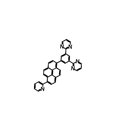 c1ccc(-c2ccc3ccc4c(-c5cc(-c6ncccn6)cc(-c6ncccn6)c5)ccc5ccc2c3c54)nc1